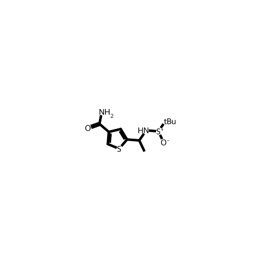 CC(N[S+]([O-])C(C)(C)C)c1cc(C(N)=O)cs1